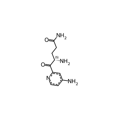 NC(=O)CC[C@H](N)C(=O)c1cc(N)ccn1